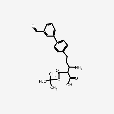 CC(C)(C)OC(=O)C(C(=O)O)C(N)CCc1ccc(-c2cccc(C=O)c2)cc1